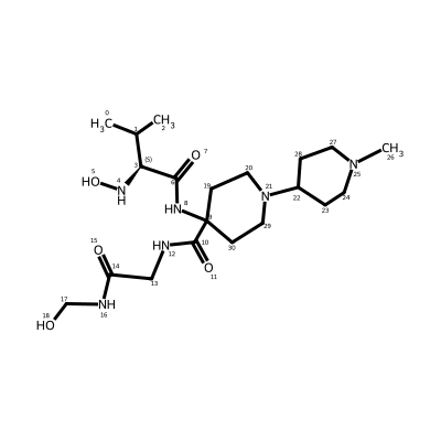 CC(C)[C@H](NO)C(=O)NC1(C(=O)NCC(=O)NCO)CCN(C2CCN(C)CC2)CC1